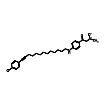 C[S+]([O-])CC(=O)c1ccc(NCCCCCCCCCCCC#Cc2ccc(Cl)cc2)cc1